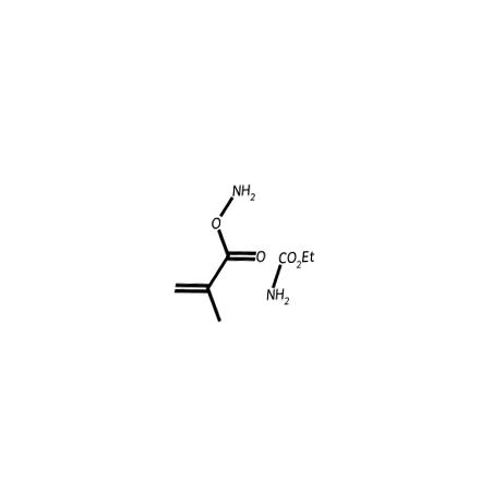 C=C(C)C(=O)ON.CCOC(N)=O